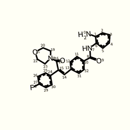 Nc1ccccc1NC(=O)c1ccc(C=C(C(=O)N2CCOCC2)c2ccc(F)cc2)cc1